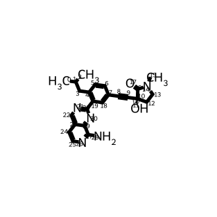 CC(C)Cc1ccc(C#C[C@@]2(O)CCN(C)C2=O)cc1-c1ncc2ccnc(N)c2n1